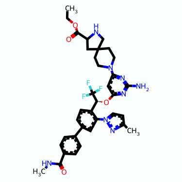 CCOC(=O)C1CC2(CCN(c3cc(O[C@H](c4ccc(-c5ccc(C(=O)NC)cc5)cc4-n4ccc(C)n4)C(F)(F)F)nc(N)n3)CC2)CN1